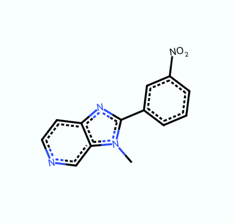 Cn1c(-c2cccc([N+](=O)[O-])c2)nc2ccncc21